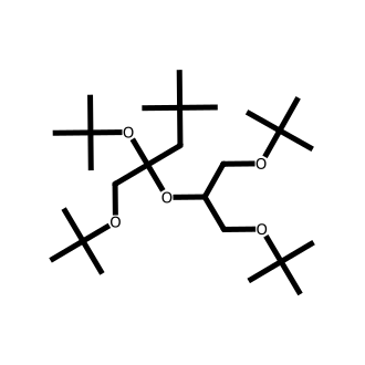 CC(C)(C)CC(COC(C)(C)C)(OC(COC(C)(C)C)COC(C)(C)C)OC(C)(C)C